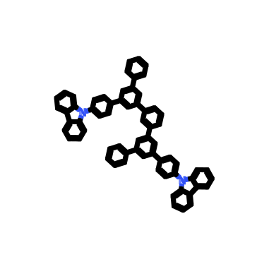 c1ccc(-c2cc(-c3ccc(-n4c5ccccc5c5ccccc54)cc3)cc(-c3cccc(-c4cc(-c5ccccc5)cc(-c5ccc(-n6c7ccccc7c7ccccc76)cc5)c4)c3)c2)cc1